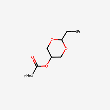 CCCCCCC(=O)OC1COC(CC(C)C)OC1